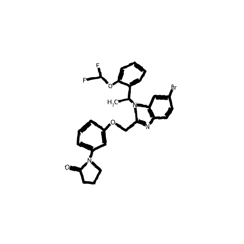 CC(c1ccccc1OC(F)F)n1c(COc2cccc(N3CCCC3=O)c2)nc2ccc(Br)cc21